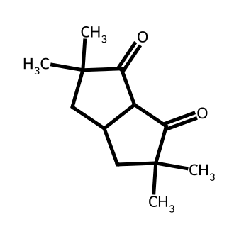 CC1(C)CC2CC(C)(C)C(=O)C2C1=O